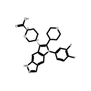 O=C(O)[C@H]1CC[C@H](c2c(C3CCOCC3)n(-c3ccc(F)c(F)c3)c3cc4cn[nH]c4cc23)CO1